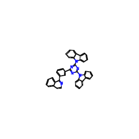 c1cc(-c2nc(-n3c4ccccc4c4ccccc43)nc(-n3c4ccccc4c4ccccc43)n2)cc(-c2nccc3ccccc23)c1